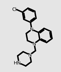 Clc1cccc(N2CCN(CN3CCNCC3)c3ccccc32)c1